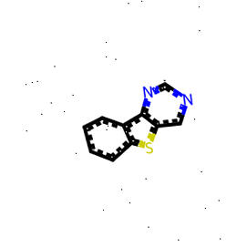 [c]1ncc2sc3ccccc3c2n1